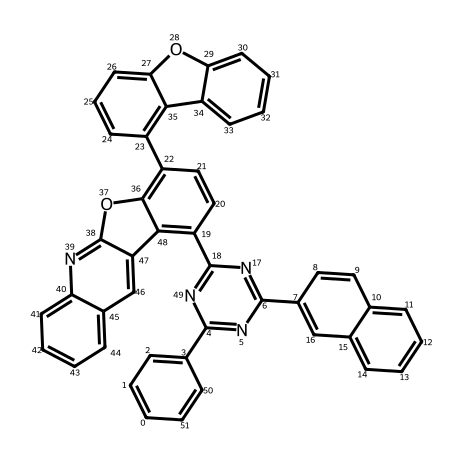 c1ccc(-c2nc(-c3ccc4ccccc4c3)nc(-c3ccc(-c4cccc5oc6ccccc6c45)c4oc5nc6ccccc6cc5c34)n2)cc1